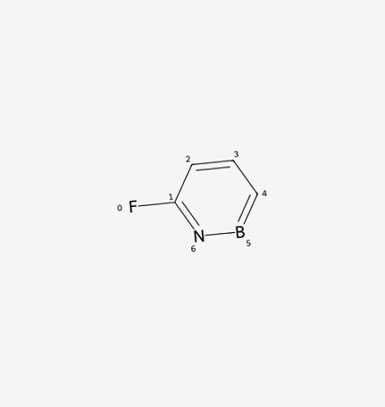 Fc1cccbn1